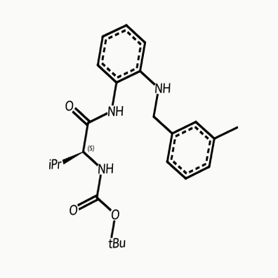 Cc1cccc(CNc2ccccc2NC(=O)[C@@H](NC(=O)OC(C)(C)C)C(C)C)c1